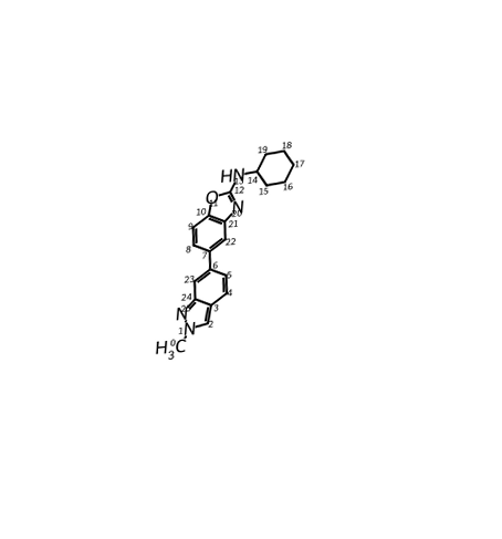 Cn1cc2ccc(-c3ccc4oc(NC5CCCCC5)nc4c3)cc2n1